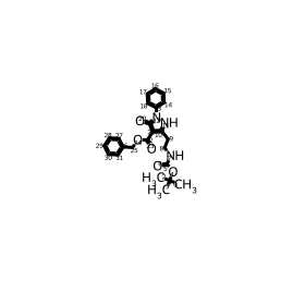 CC(C)(C)OC(=O)NCCc1[nH]n(-c2ccccc2)c(=O)c1C(=O)OCc1ccccc1